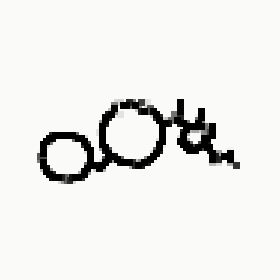 Cc1nc(N)ccc1NC1CCCCCCCC(CC2CCCCCCCCCC2)CCCCC1